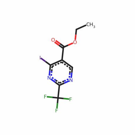 CCOC(=O)c1cnc(C(F)(F)F)nc1I